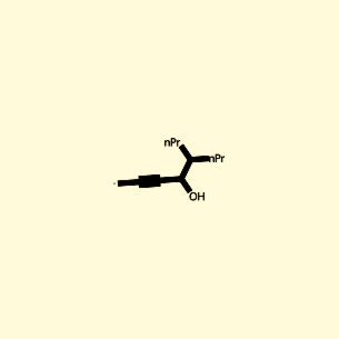 [CH2]C#CC(O)C(CCC)CCC